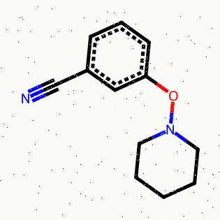 N#Cc1cccc(ON2CCCCC2)c1